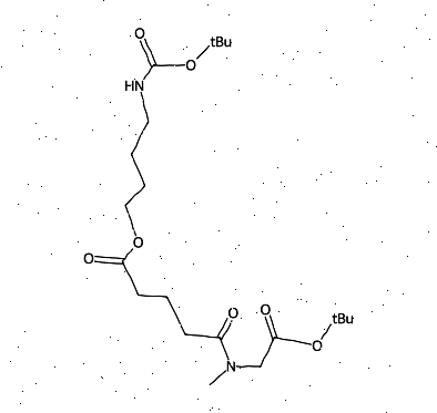 CN(CC(=O)OC(C)(C)C)C(=O)CCCC(=O)OCCCCNC(=O)OC(C)(C)C